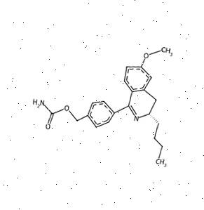 CCCC[C@H]1Cc2cc(OC)ccc2C(c2ccc(COC(N)=O)cc2)=N1